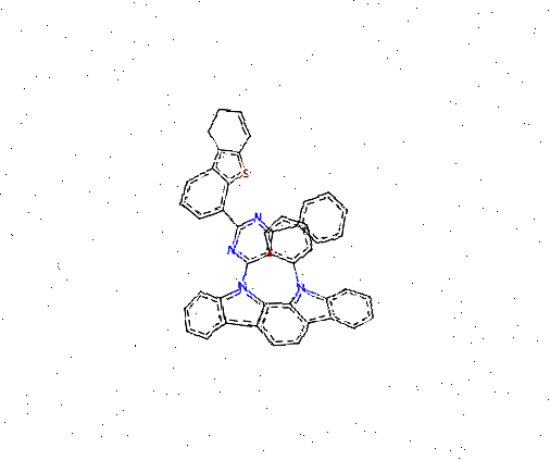 C1=Cc2sc3c(-c4nc(-c5ccccc5)cc(-n5c6ccccc6c6ccc7c8ccccc8n(-c8ccccc8)c7c65)n4)cccc3c2CC1